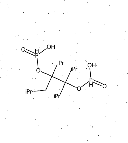 CC(C)CC(O[PH](=O)O)(C(C)C)C(O[PH](=O)O)(C(C)C)C(C)C